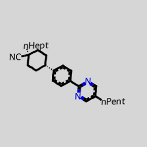 CCCCCCC[C@]1(C#N)CC[C@H](c2ccc(-c3ncc(CCCCC)cn3)cc2)CC1